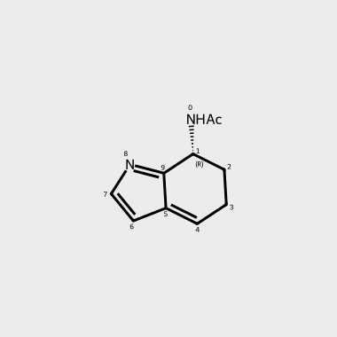 CC(=O)N[C@@H]1CCC=C2C=CN=C21